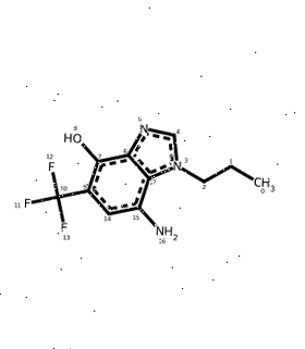 CCCn1cnc2c(O)c(C(F)(F)F)cc(N)c21